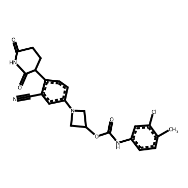 Cc1ccc(NC(=O)OC2CN(c3ccc(C4CCC(=O)NC4=O)c(C#N)c3)C2)cc1Cl